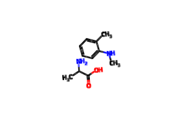 CC(N)C(=O)O.CNc1ccccc1C